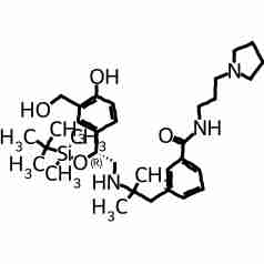 CC(C)(Cc1cccc(C(=O)NCCCN2CCCC2)c1)NC[C@H](O[Si](C)(C)C(C)(C)C)c1ccc(O)c(CO)c1